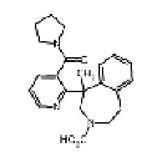 CC1(c2ncccc2C(=O)N2CCCC2)CN(C(=O)O)CCc2ccccc21